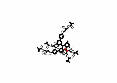 C=C(C)C(=O)OCC(O)COc1ccc(-c2ccc(OCC(O)COC(=O)C(=C)C)c(C(c3cc(-c4ccc(OCC(O)COC(=O)C(=C)C)cc4)ccc3OCC(O)COC(=O)C(=C)C)c3cc(C)cc(C)c3OCC(O)COC(=O)C(=C)C)c2)cc1